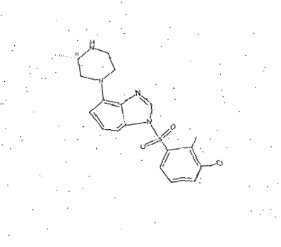 Cc1c(Cl)cccc1S(=O)(=O)n1cnc2c(N3CCN[C@@H](C)C3)cccc21